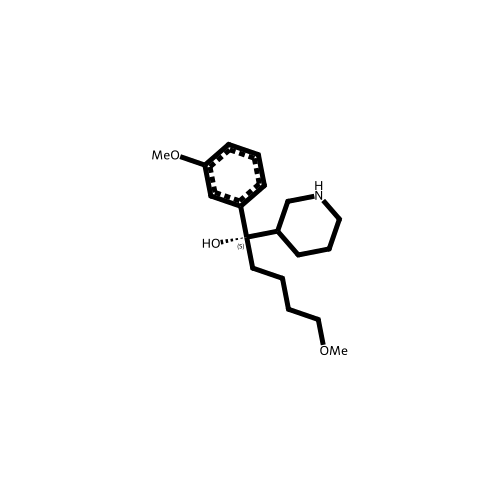 COCCCC[C@@](O)(c1cccc(OC)c1)C1CCCNC1